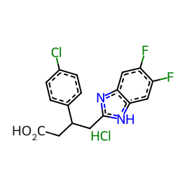 Cl.O=C(O)CC(Cc1nc2cc(F)c(F)cc2[nH]1)c1ccc(Cl)cc1